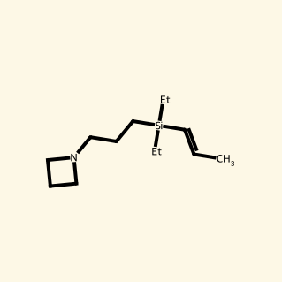 CC=C[Si](CC)(CC)CCCN1CCC1